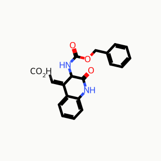 O=C(O)C=C1c2ccccc2NC(=O)C1NC(=O)OCc1ccccc1